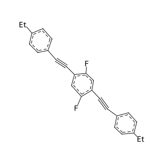 CCc1ccc(C#Cc2cc(F)c(C#Cc3ccc(CC)cc3)cc2F)cc1